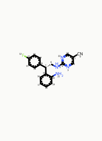 N#Cc1cnc(NC[C@@H](c2ccc(F)cc2)c2ccccc2N)nc1